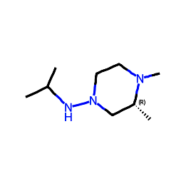 CC(C)NN1CCN(C)[C@H](C)C1